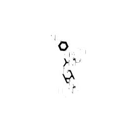 CC(C)(C)OC(=O)NC(COc1ccc(C#N)cc1)CN1CC2CC(C1)CN(C(N)=O)C2